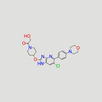 O=C(CO)N1CCC(Oc2nc3nc(-c4ccc(N5CCOCC5)cc4)c(Cl)cc3[nH]2)CC1